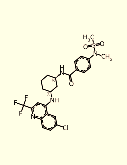 CN(c1ccc(C(=O)N[C@@H]2CCC[C@H](Nc3cc(C(F)(F)F)nc4ccc(Cl)cc34)C2)cc1)S(C)(=O)=O